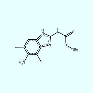 Cc1cc2[nH]c(NC(=O)OC(C)(C)C)nc2c(C)c1N